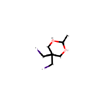 CC1OCC(CI)(CI)CO1